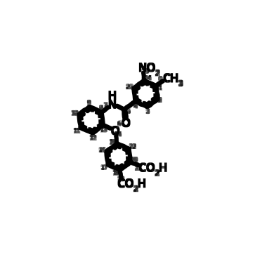 Cc1ccc(C(=O)Nc2ccccc2Oc2ccc(C(=O)O)c(C(=O)O)c2)cc1[N+](=O)[O-]